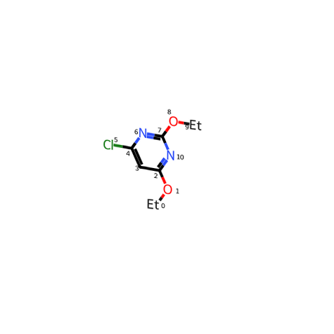 CCOc1cc(Cl)nc(OCC)n1